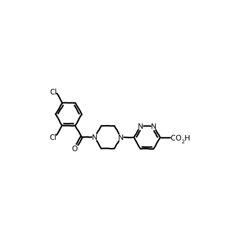 O=C(O)c1ccc(N2CCN(C(=O)c3ccc(Cl)cc3Cl)CC2)nn1